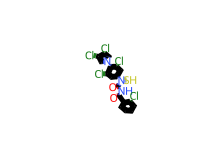 O=C(NC(=O)N(S)c1cc(Cl)c(-n2cc(Cl)c(Cl)c2)c(Cl)c1)c1ccccc1Cl